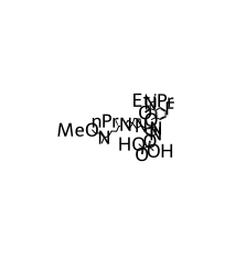 CCC[C@H](CCCN(C)CCOC)N1CC2(CCN(c3ccnnc3Oc3ccc(F)cc3C(=O)N(CC)C(C)C)C2)C1.O=C(O)C(=O)O